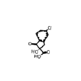 O=C(O)[C@]1(O)Cc2cc(Cl)ccc2C1=O